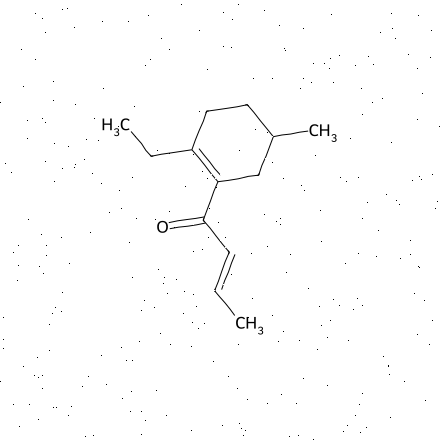 CC=CC(=O)C1=C(CC)CCC(C)C1